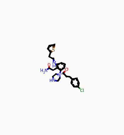 NC(=O)Cc1c(NCCc2cccs2)cccc1[N+]1(C(=O)[CH]Cc2ccc(Cl)cc2)CCNCC1